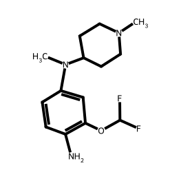 CN1CCC(N(C)c2ccc(N)c(OC(F)F)c2)CC1